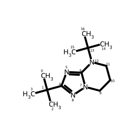 CC(C)(C)c1nc2n(n1)CCCN2C(C)(C)C